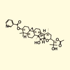 CC(=O)O[C@@H](C1C[C@@H](C)[C@H]2[C@H](O1)[C@H](O)[C@@]1(C)C3CC[C@H]4C(C)(C)[C@@H](OC(=O)c5cccnc5)CCC45C[C@@]35CC[C@]21C)C(C)(C)O